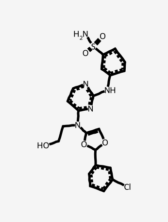 NS(=O)(=O)c1cccc(Nc2nccc(N(CCO)C3=COC(c4cccc(Cl)c4)O3)n2)c1